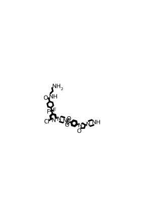 NCCCNC(=O)C1CCC(C(F)(F)c2cc(Cl)nc(N3CCN(S(=O)(=O)c4ccc(N5CC(N6CCNCC6)CC5=O)cc4)CC3)c2)CC1